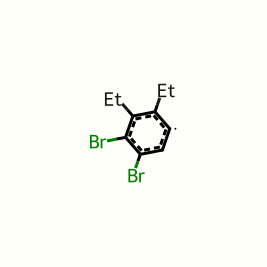 CCc1[c]cc(Br)c(Br)c1CC